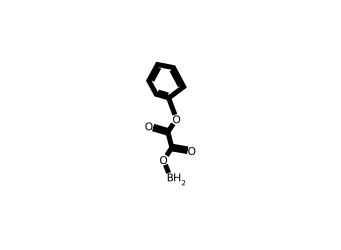 BOC(=O)C(=O)Oc1ccccc1